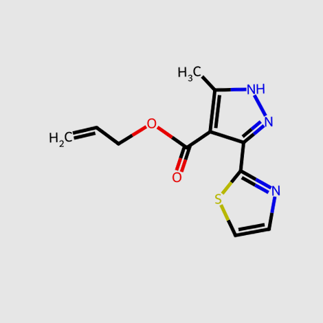 C=CCOC(=O)c1c(-c2nccs2)n[nH]c1C